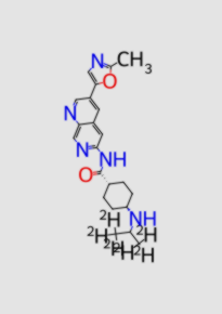 [2H]C([2H])([2H])C(N[C@H]1CC[C@H](C(=O)Nc2cc3cc(-c4cnc(C)o4)cnc3cn2)CC1)C([2H])([2H])[2H]